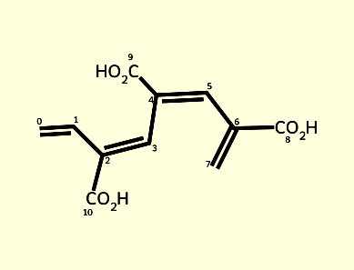 C=C/C(=C\C(=C/C(=C)C(=O)O)C(=O)O)C(=O)O